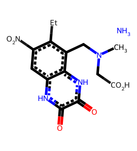 CCc1c([N+](=O)[O-])cc2[nH]c(=O)c(=O)[nH]c2c1CN(C)CC(=O)O.N